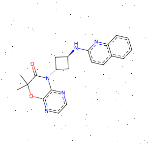 CC1(C)Oc2nccnc2N([C@H]2C[C@H](Nc3ccc4ccccc4n3)C2)C1=O